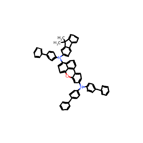 CC1(C)c2ccccc2-c2ccc(N(c3ccc(-c4ccccc4)cc3)c3ccc4c5c(cccc35)-c3ccc(N(c5ccc(-c6ccccc6)cc5)c5ccc(-c6ccccc6)cc5)cc3O4)cc21